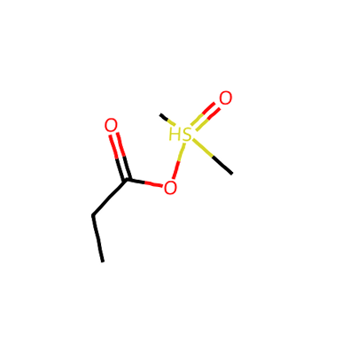 CCC(=O)O[SH](C)(C)=O